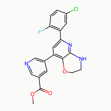 COC(=O)c1cncc(-c2cc(-c3cc(Cl)ccc3F)nc3c2OCCN3)c1